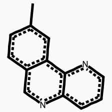 Cc1ccc2cnc3cccnc3c2c1